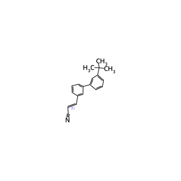 CC(C)(C)c1cccc(-c2cccc(/C=C/C#N)c2)c1